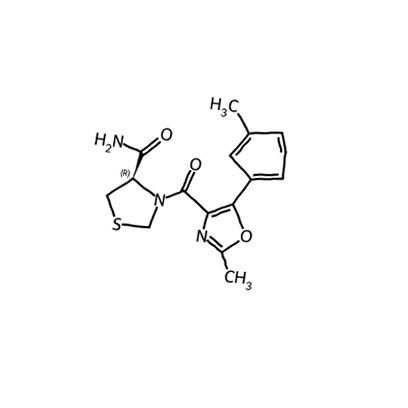 Cc1cccc(-c2oc(C)nc2C(=O)N2CSC[C@H]2C(N)=O)c1